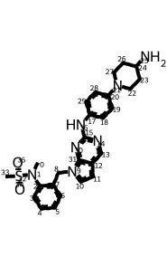 CN(c1ccccc1Cn1ccc2cnc(Nc3ccc(N4CCC(N)CC4)cc3)nc21)S(C)(=O)=O